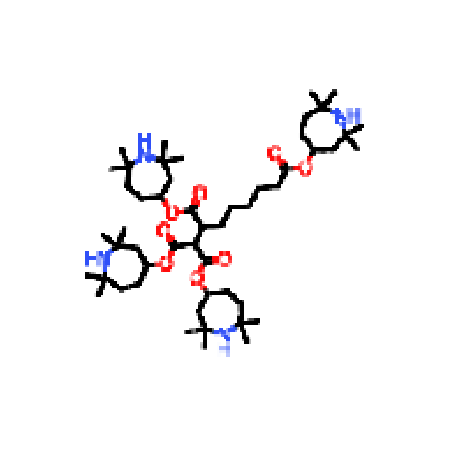 CC1(C)CCC(OC(=O)CCCCCC(C(=O)OC2CCC(C)(C)NC(C)(C)C2)C(C(=O)OC2CCC(C)(C)NC(C)(C)C2)C(=O)OC2CCC(C)(C)NC(C)(C)C2)CC(C)(C)N1